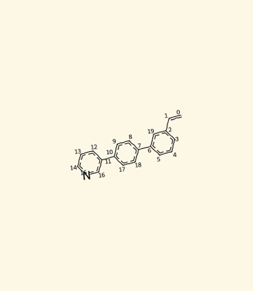 C=Cc1cccc(-c2ccc(-c3cccnc3)cc2)c1